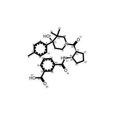 Cc1ccc([C@@]2(O)CCN(C(=O)[C@H]3CCC[C@H]3NC(=O)c3cccc(C(=O)O)c3)CC2(C)C)cc1